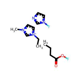 CCCC(=O)OF.CC[n+]1ccn(C)c1.Fn1ccnc1